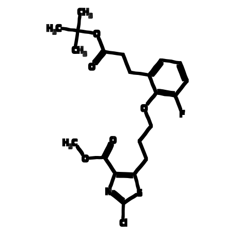 COC(=O)c1nc(Cl)sc1CCCOc1c(F)cccc1CCC(=O)OC(C)(C)C